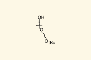 CC(C)(C#CO)COCCCCOC(C)(C)C